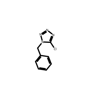 Clc1nnnn1Cc1ccccc1